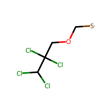 [S]COCC(Cl)(Cl)C(Cl)Cl